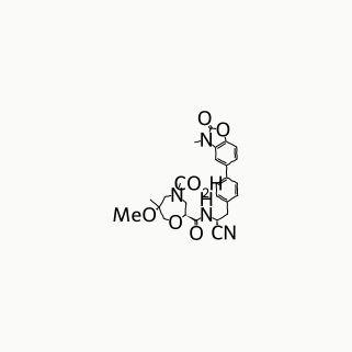 CO[C@]1(C)CO[C@H](C(=O)N[C@H](C#N)Cc2ccc(-c3ccc4oc(=O)n(C)c4c3)cc2)CN(C(=O)O)C1